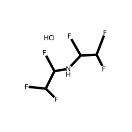 Cl.FC(F)C(F)NC(F)C(F)F